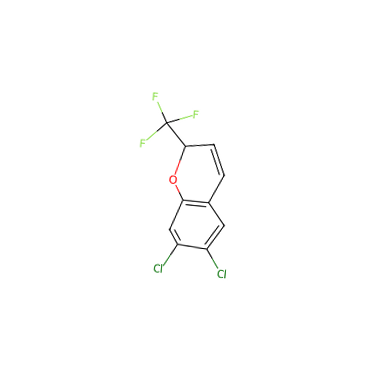 FC(F)(F)C1C=Cc2cc(Cl)c(Cl)cc2O1